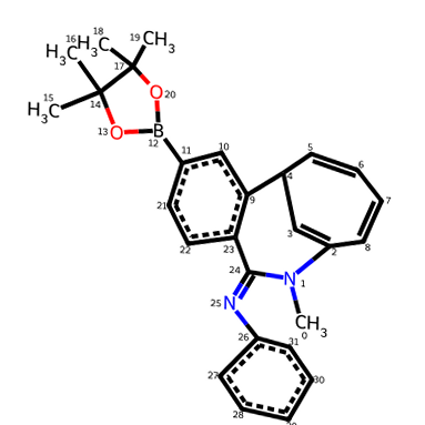 CN1C2=CC(C=CC=C2)c2cc(B3OC(C)(C)C(C)(C)O3)ccc2/C1=N/c1ccccc1